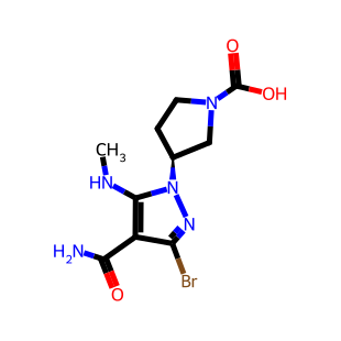 CNc1c(C(N)=O)c(Br)nn1[C@H]1CCN(C(=O)O)C1